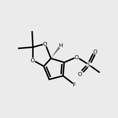 CC1(C)OC2=CC(F)=C(OS(C)(=O)=O)[C@@H]2O1